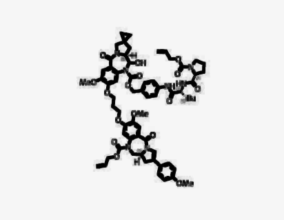 C=CCOC(=O)N1C[C@@H]2CC(c3ccc(OC)cc3)=CN2C(=O)c2cc(OC)c(OCCCOc3cc4c(cc3OC)C(=O)N3CC5(CC5)C[C@H]3C(O)N4C(=O)OCc3ccc(NC(=O)[C@@H](NC(=O)[C@@H]4CCCN4C(=O)OCC=C)[C@@H](C)CC)cc3)cc21